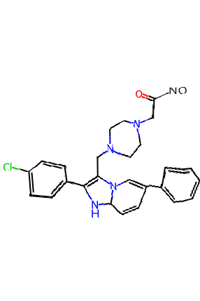 O=NC(=O)CN1CCN(CC2=C(c3ccc(Cl)cc3)NC3C=CC(c4ccccc4)=CN23)CC1